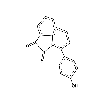 O=C1C(=O)c2c(-c3ccc(O)cc3)ccc3cccc1c23